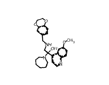 COc1ccc2nccc(C(O)(CNCc3ccc4c(c3)OCCO4)N3CCCCCC3)c2c1